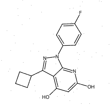 Oc1cc(O)c2c(C3CCC3)nn(-c3ccc(F)cc3)c2n1